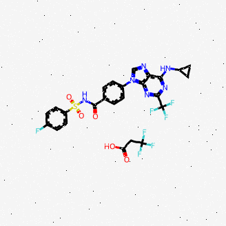 O=C(NS(=O)(=O)c1ccc(F)cc1)c1ccc(-n2cnc3c(NC4CC4)nc(C(F)(F)F)nc32)cc1.O=C(O)CC(F)(F)F